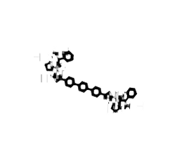 CN(C)[C@@H](C(=O)N1CCC[C@H]1c1nc(-c2ccc(-c3ccc(-c4ccc(-c5c[nH]c([C@@H]6CCCN6C(=O)[C@@H](c6ccccc6)N(C)C)n5)cc4)cc3)cc2)c[nH]1)c1ccccc1